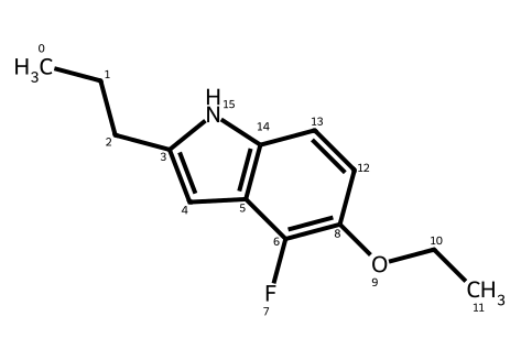 CCCc1cc2c(F)c(OCC)ccc2[nH]1